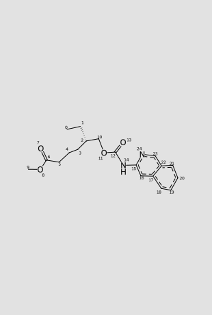 CC[C@@H](CCCC(=O)OC)COC(=O)Nc1cc2ccccc2cn1